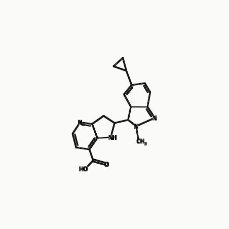 CN1N=C2C=CC(C3CC3)=CC2C1C1Cc2nccc(C(=O)O)c2N1